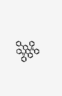 C1=CC(N(c2ccccc2)c2c3ccccc3c(N(c3ccccc3)c3ccccc3)c3ccc(-c4ccccc4)cc23)=CCC1